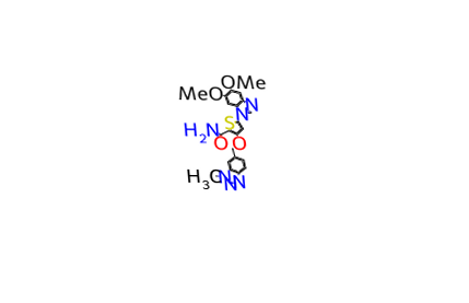 COc1cc2ncn(-c3cc(OCc4ccc5nnn(C)c5c4)c(C(N)=O)s3)c2cc1OC